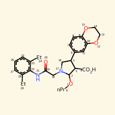 CCCOC1C(C(=O)O)C(c2ccc3c(c2)OCCO3)CN1CC(=O)Nc1c(CC)cccc1CC